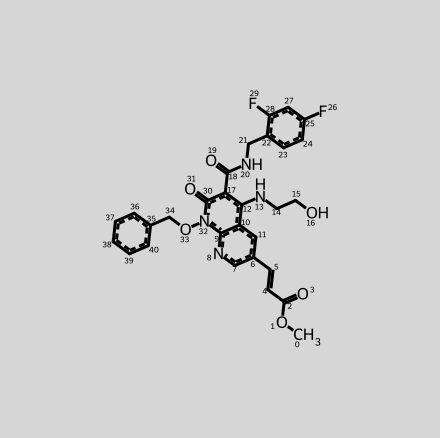 COC(=O)/C=C/c1cnc2c(c1)c(NCCO)c(C(=O)NCc1ccc(F)cc1F)c(=O)n2OCc1ccccc1